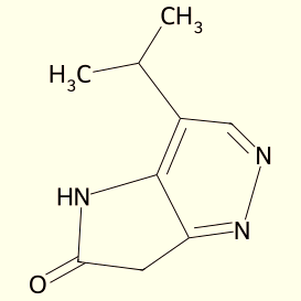 CC(C)c1cnnc2c1NC(=O)C2